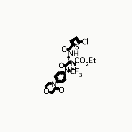 CCOC(=O)N[C@@H](CNC(=O)c1ccc(Cl)s1)C(=O)N(c1ccc(N2CCOCC2=O)cc1)C(F)(F)F